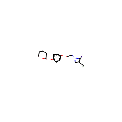 FCC1CN(CCOc2ccc(OC3CCCCO3)cc2)C1I